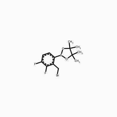 CC1(C)OB(c2ccc(F)c(F)c2CBr)OC1(C)C